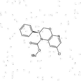 CC(C)(C)OC(=O)N1c2cc(Cl)cnc2OC[C@@H]1c1ccccc1